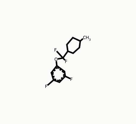 CC1CCC(C(F)(F)Oc2cc(F)cc(F)c2)CC1